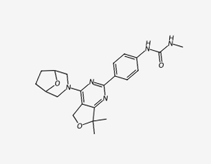 CNC(=O)Nc1ccc(-c2nc(N3CC4CCC(C3)O4)c3c(n2)C(C)(C)OC3)cc1